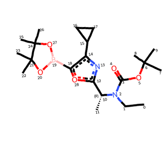 CCN(C(=O)OC(C)(C)C)[C@H](C)c1nc(C2CC2)c(B2OC(C)(C)C(C)(C)O2)o1